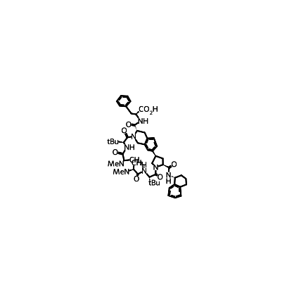 CN[C@@H](C)C(=O)N[C@H](C(=O)N1Cc2cc([C@H]3C[C@@H](C(=O)N[C@@H]4CCCc5ccccc54)N(C(=O)[C@@H](NC(=O)[C@H](C)NC)C(C)(C)C)C3)ccc2C[C@H]1C(=O)N[C@@H](Cc1ccccc1)C(=O)O)C(C)(C)C